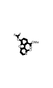 COC(=O)c1ccc(OC(F)F)c2oc3ccnc(Cl)c3c12